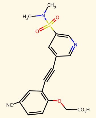 CN(C)S(=O)(=O)c1cncc(C#Cc2cc(C#N)ccc2OCC(=O)O)c1